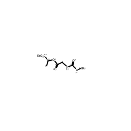 CCOC(=O)[C@H](C)OC(=O)CNC(=O)OC(C)(C)C